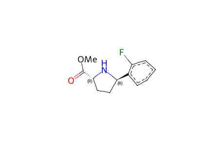 COC(=O)[C@H]1CC[C@H](c2ccccc2F)N1